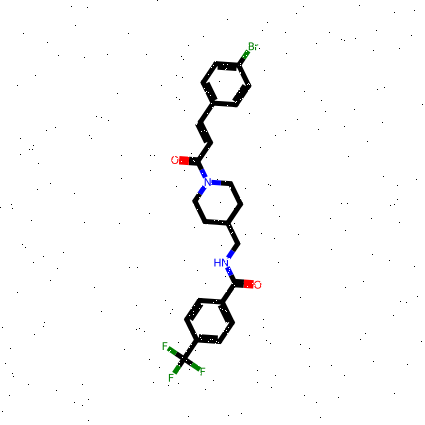 O=C(NCC1CCN(C(=O)C=Cc2ccc(Br)cc2)CC1)c1ccc(C(F)(F)F)cc1